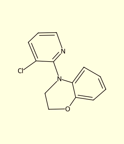 Clc1cccnc1N1CCOc2ccccc21